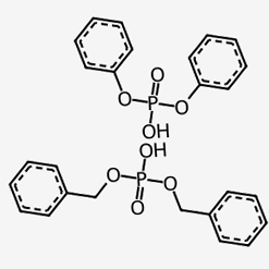 O=P(O)(OCc1ccccc1)OCc1ccccc1.O=P(O)(Oc1ccccc1)Oc1ccccc1